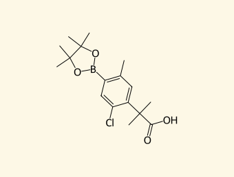 Cc1cc(C(C)(C)C(=O)O)c(Cl)cc1B1OC(C)(C)C(C)(C)O1